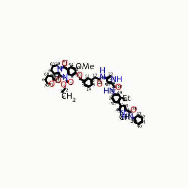 C=CCOC(=O)N1c2cc(OCc3cccc(CC(=O)Nc4c[nH]c(C(=O)Nc5ccc(-c6cc(C(=O)Nc7ccccc7)n(C)c6)c(CC)c5)c4)c3)c(OC)cc2C(=O)N2CCCC[C@H]2C1OC1CCCCO1